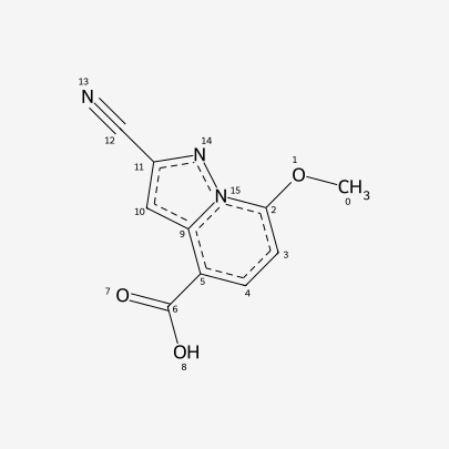 COc1ccc(C(=O)O)c2cc(C#N)nn12